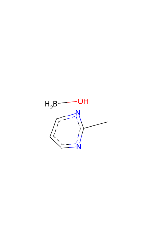 BO.Cc1ncccn1